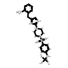 Cc1ccccc1Cc1csc(N2CCN(S(=O)(=O)c3ccc(OC(F)(F)F)cc3)CC2)n1